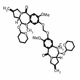 C=C1C[C@H]2[C@H](OC3CCCCO3)N(C)c3cc(OCOc4cc5c(cc4OC)C(=O)N4CC(=C)C[C@H]4[C@H](OC4CCCCO4)N5C)c(OC)cc3C(=O)N2C1